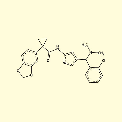 CN(C)C(c1cnc(NC(=O)C2(c3ccc4c(c3)OCO4)CC2)s1)c1ccccc1Cl